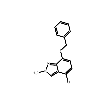 Cn1cc2c(Cl)ccc(SCc3ccccc3)c2n1